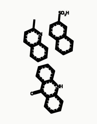 Cc1ccc2ccccc2n1.O=S(=O)(O)c1ccc2ccccc2c1.O=c1c2ccccc2[nH]c2ccccc12